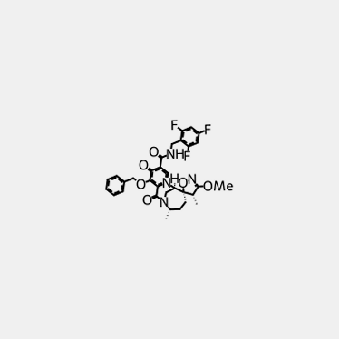 COC1=NO[C@@]2(CC[C@H](C)N3C[C@H]2n2cc(C(=O)NCc4c(F)cc(F)cc4F)c(=O)c(OCc4ccccc4)c2C3=O)[C@H]1C